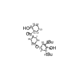 CC(C)(C)c1cc(Oc2ccc(C(=O)c3ccccc3O)cc2)cc(C(C)(C)C)c1O